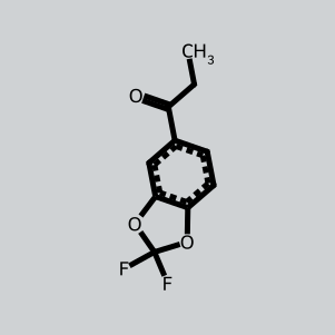 CCC(=O)c1ccc2c(c1)OC(F)(F)O2